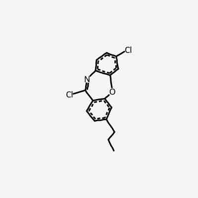 CCCc1ccc2c(c1)Oc1cc(Cl)ccc1N=C2Cl